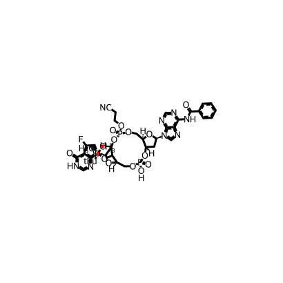 CC(C)(C)[Si](C)(C)OC1[C@H]2OP(=O)(OCCC#N)OC[C@H]3O[C@@H](n4cnc5c(NC(=O)c6ccccc6)ncnc54)C[C@@H]3OP(=O)(O)OC[C@H]1O[C@H]2n1cc(F)c2c(=O)[nH]cnc21